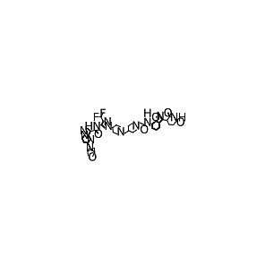 O=C1CCC(c2noc3c(NC(=O)CN4CCC(CN5CCC(n6cc(NC(=O)c7cnn8ccc(N9CC%10CC9CO%10)nc78)c(C(F)F)n6)CC5)CC4)cccc23)C(=O)N1